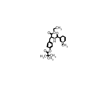 CCOC(=O)C(Cc1ccc(OC(=O)C(C)(C)C)cc1)NC(=O)C1=CN(C)C=CC1